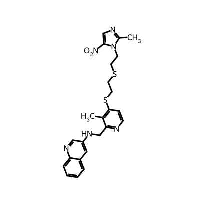 Cc1c(SCCSCCn2c([N+](=O)[O-])cnc2C)ccnc1CNc1cnc2ccccc2c1